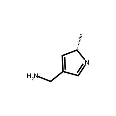 C[C@H]1C=C(CN)C=N1